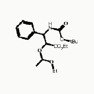 CCOC(=O)C(OC(C)OCC)C(NC(=O)OC(C)(C)C)c1ccccc1